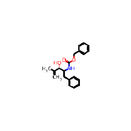 C=C(C)[C@H](O)C(Cc1ccccc1)NC(=O)OCc1ccccc1